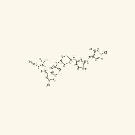 N#CCC1(CNc2cc(Br)cc(F)c2NC(=O)CN2CCC(Oc3ccc(F)c(COc4ccc(Cl)cc4F)n3)CC2)CC1